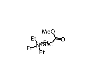 CC[N+](CC)(CC)CC.COC(=O)C(=O)[O-]